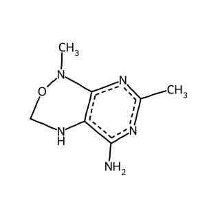 Cc1nc(N)c2c(n1)N(C)OCN2